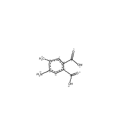 Cc1cc(C(=O)O)c(C(=O)O)cc1N